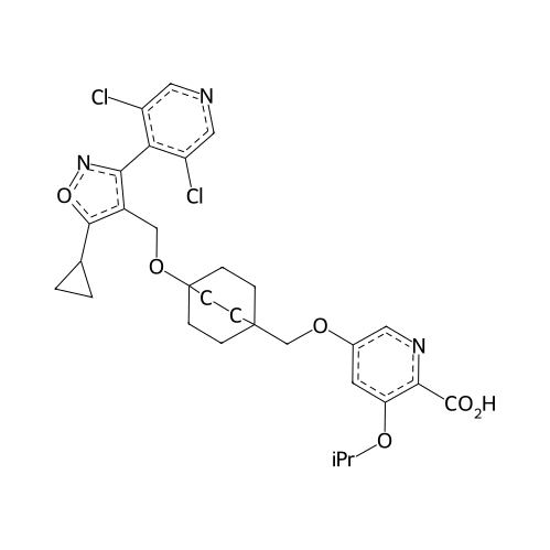 CC(C)Oc1cc(OCC23CCC(OCc4c(-c5c(Cl)cncc5Cl)noc4C4CC4)(CC2)CC3)cnc1C(=O)O